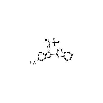 Cc1ccc2oc(C(N)=Cc3ccccc3)cc2c1.O=C(O)C(F)(F)F